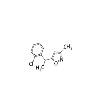 Cc1cc(C(C)c2ccccc2Cl)on1